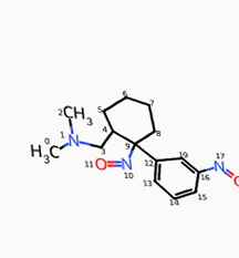 CN(C)CC1CCCCC1(N=O)c1cccc(N=O)c1